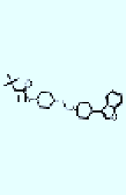 CC(C)(C)CC(=O)N[C@H]1CC[C@H](CCN2CCC(c3coc4ccccc34)CC2)CC1